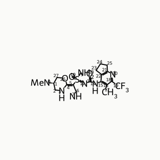 CN[C@@H]1CN/C(=C(\C=N)S(N)(=O)=NC(=O)Nc2c(C)c(C(F)(F)F)nc3c2CCC3)OC1